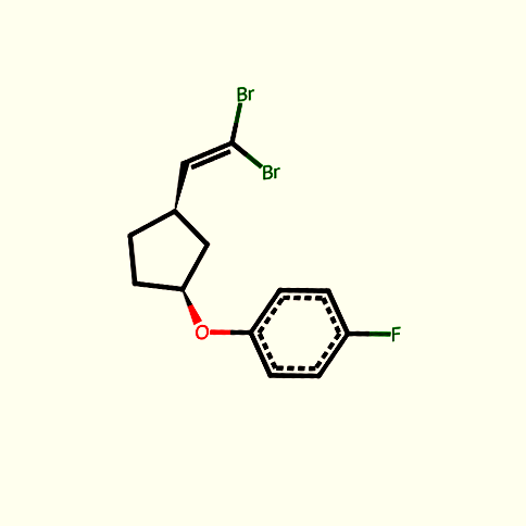 Fc1ccc(O[C@H]2CC[C@@H](C=C(Br)Br)C2)cc1